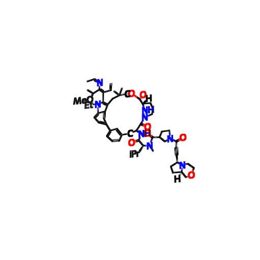 C=C/C(=C(\N=C/C)[C@H](C)OC)c1c2c3cc(ccc3n1CC)-c1cccc(c1)C[C@H](NC(=O)[C@H](C(C)C)N(C)C(=O)C1CCN(C(=O)C#C[C@@H]3CC[C@@H]4COCCN43)C1)C(=O)N1CCC[C@H](N1)C(=O)OCC(C)(C)C2